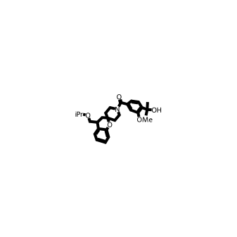 COc1cc(C(=O)N2CCC3(CC2)CC(COC(C)C)c2ccccc2O3)ccc1C(C)(C)O